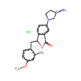 Cc1cc(OC(F)(F)F)ccc1CC1OC(=O)c2cc(N3CC[C@@H](N)C3)ccc21.Cl